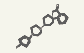 O=C1C[C@]2(CC[C@@H](N3CCN(c4ccc(F)cc4)CC3)CC2)c2ccccc21